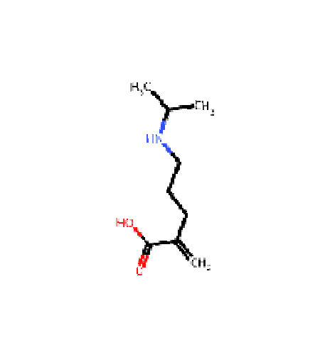 C=C(CCCNC(C)C)C(=O)O